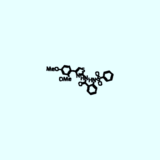 COc1ccc(-c2csc(NC(=O)c3ccccc3NS(=O)(=O)c3ccccc3)n2)c(OC)c1